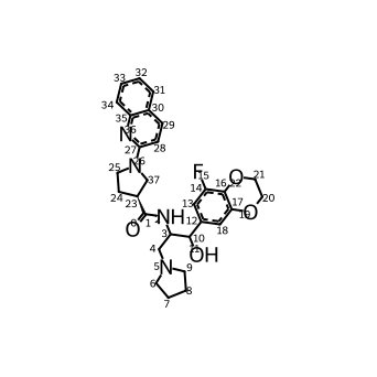 O=C(NC(CN1CCCC1)C(O)c1cc(F)c2c(c1)OCCO2)[C@H]1CCN(c2ccc3ccccc3n2)C1